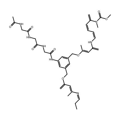 C=C(/C=C(\C)OCc1cc(COC(=C)/C=C(C)/N=C\CC)cc(NC(=O)CNC(=O)CNC(=O)CNC(C)=O)c1)N/C=C\C=C/C(=C)N(C)C(=O)OC